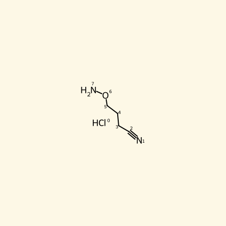 Cl.N#CCCCON